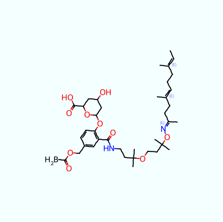 BC(=O)OCc1ccc(OC2CC(O)CC(C(=O)O)O2)c(C(=O)NCCC(C)(C)OCCC(C)(C)O/N=C(\C)CC/C(C)=C/CC/C(C)=C/C)c1